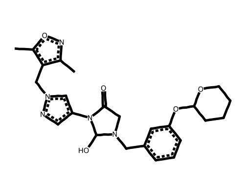 Cc1noc(C)c1Cn1cc(N2C(=O)CN(Cc3cccc(OC4CCCCO4)c3)C2O)cn1